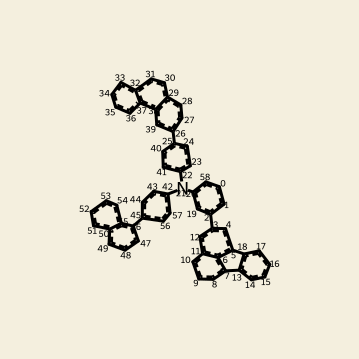 c1cc(-c2cc3c4c(cccc4c2)-c2ccccc2-3)cc(N(c2ccc(-c3ccc4ccc5ccccc5c4c3)cc2)c2ccc(-c3cccc4ccccc34)cc2)c1